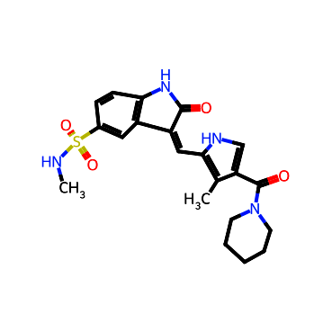 CNS(=O)(=O)c1ccc2c(c1)C(=Cc1[nH]cc(C(=O)N3CCCCC3)c1C)C(=O)N2